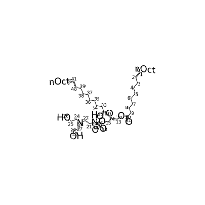 CCCCCCCCC=CCCCCCCCC(=O)OCC(COS(=O)(=O)NCCN(CCO)CCO)OC(=O)CCCCCCCC=CCCCCCCCC